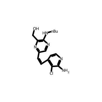 CCCCNc1ncc(/C=C\c2ccnc(N)c2Cl)nc1CO